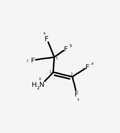 NC(=C(F)F)C(F)(F)F